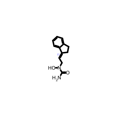 NC(=O)N(O)C/C=C1\CCc2ccccc21